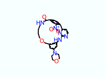 O=C1NCCCCOCc2cc(cc(N3CCOCC3)c2)Nc2nccc(n2)-c2ccc1cc2[N+](=O)[O-]